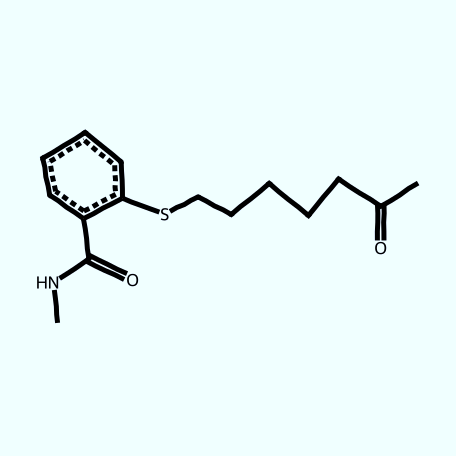 CNC(=O)c1ccccc1SCCCCCC(C)=O